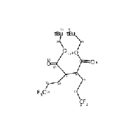 CC(C)(C)COC(=O)C(CCC(F)(F)F)C(CCC(F)(F)F)C(=O)OCC(C)(C)C